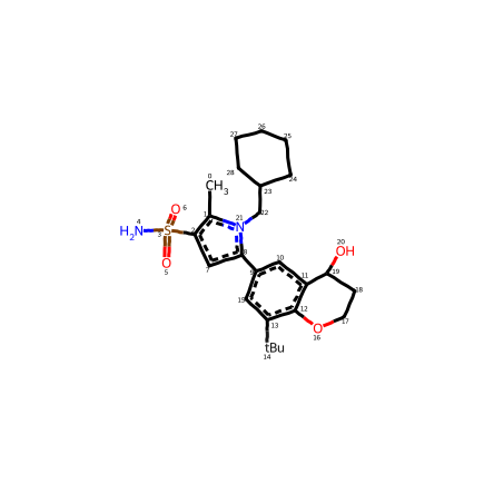 Cc1c(S(N)(=O)=O)cc(-c2cc3c(c(C(C)(C)C)c2)OCCC3O)n1CC1CCCCC1